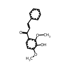 COc1ccc(C(=O)C=Cc2ccccc2)c(OC)c1O